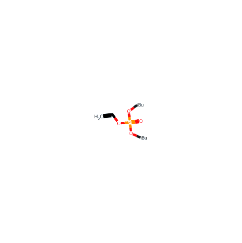 C=COP(=O)(OC(C)CC)OC(C)CC